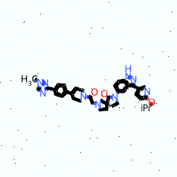 CC(C)Oc1ccc(-c2n[nH]c3ccc(N4CC[C@@]5(CCN(CC(=O)N6CC=C(c7ccc(-c8ncn(C)n8)cc7)CC6)C5)C4=O)cc23)cn1